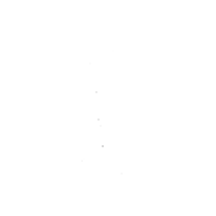 Bc1cc(C(=O)N2CCOc3ccncc32)c(B)cc1C(=O)O